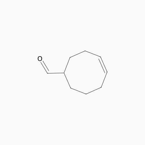 O=CC1CCC=CCCC1